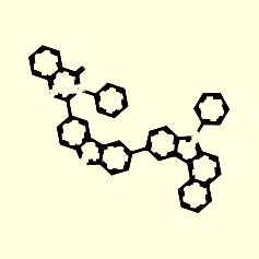 O=c1c2ccccc2nc(-c2ccc3oc4ccc(-c5ccc6c(c5)c5c7ccccc7ccc5n6-c5ccccc5)cc4c3c2)n1-c1ccccc1